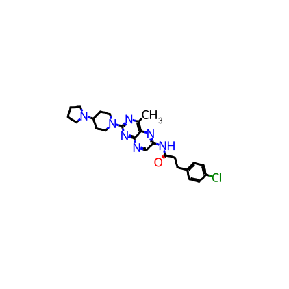 Cc1nc(N2CCC(N3CCCC3)CC2)nc2ncc(NC(=O)CCc3ccc(Cl)cc3)nc12